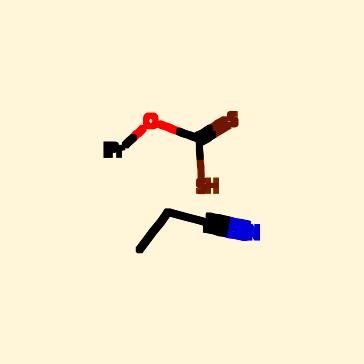 CC(C)OC(=S)S.CCC#N